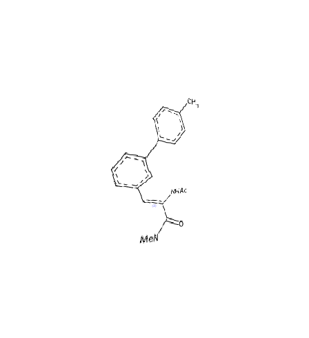 CNC(=O)/C(=C/c1cccc(-c2ccc(C)cc2)c1)NC(C)=O